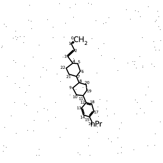 C=C/C=C/C1CCC(C2CCC(c3ccc(CCC)cc3)CC2)CC1